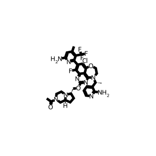 CC(=O)N1CCN2[C@H](COc3nc4c5c(c(Cl)c(-c6nc(N)cc(C)c6C(F)(F)F)c(F)c5n3)OCCN4[C@H](C)c3cccnc3N)CC[C@H]2C1